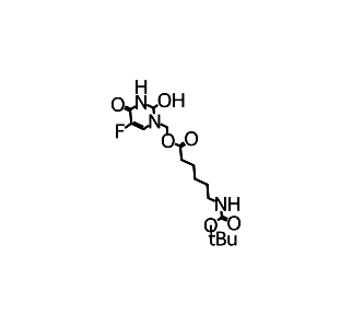 CC(C)(C)OC(=O)NCCCCCC(=O)OCN1C=C(F)C(=O)NC1O